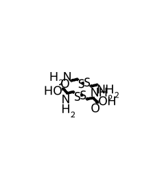 NC(CSSCC(N)C(=O)O)C(=O)O.NCCSSCCN